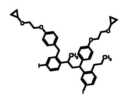 CCCc1ccc(I)cc1C(CC(C)c1ccc(I)cc1Cc1ccc(OCCOC2CC2)cc1)c1ccc(OCCOC2CC2)cc1